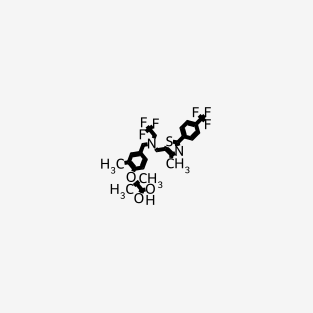 Cc1cc(CN(Cc2sc(-c3ccc(C(F)(F)F)cc3)nc2C)CC(F)(F)F)ccc1OC(C)(C)C(=O)O